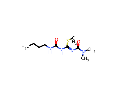 CCCCNC(=O)NC(=NC(=O)N(C)C)SC